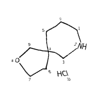 C1CNCC2(C1)CCOC2.Cl